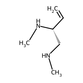 C=C[C@H](CNC)NC